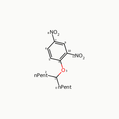 CCCCCC(CCCCC)Oc1ccc([N+](=O)[O-])cc1[N+](=O)[O-]